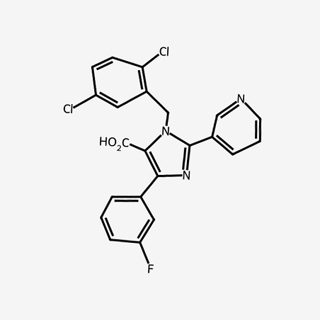 O=C(O)c1c(-c2cccc(F)c2)nc(-c2cccnc2)n1Cc1cc(Cl)ccc1Cl